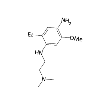 CCc1cc(N)c(OC)cc1NCCN(C)C